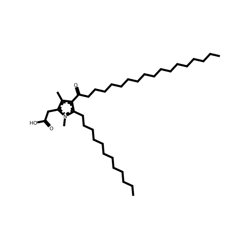 CCCCCCCCCCCCCCCCCC(=O)c1c(C)c(CC(=O)O)n(C)c1CCCCCCCCCCCC